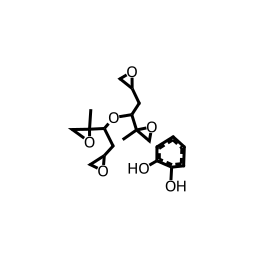 CC1(C(CC2CO2)OC(CC2CO2)C2(C)CO2)CO1.Oc1ccccc1O